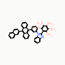 Bc1c(B)c(B)c(-c2nc3ccccc3n2-c2cccc(-c3c4ccccc4c(-c4ccc5ccccc5c4)c4ccccc34)c2)c(B)c1B